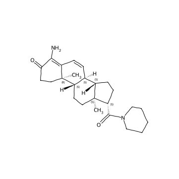 C[C@]12CC[C@H]3[C@@H](C=CC4=C(N)C(=O)CC[C@@]43C)[C@@H]1CC[C@@H]2C(=O)N1CCCCC1